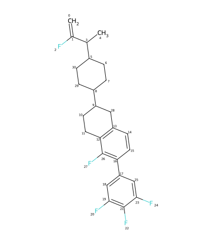 C=C(F)C(C)C1CCC(C2CCc3c(ccc(-c4cc(F)c(F)c(F)c4)c3F)C2)CC1